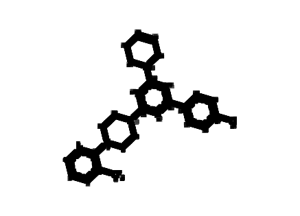 FC(F)(F)c1cccnc1N1CCN(c2nc(-c3ccc(Cl)cc3)nc(N3CC=CCC3)n2)CC1